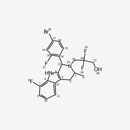 CC1Cc2c([nH]c3c(F)cccc23)C(c2ccc(Br)cc2F)N1CC(F)(F)CO